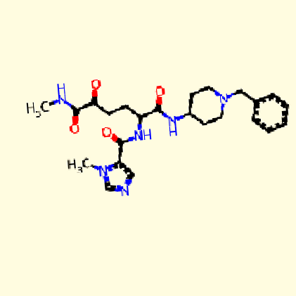 CNC(=O)C(=O)CCC(NC(=O)c1cncn1C)C(=O)NC1CCN(Cc2ccccc2)CC1